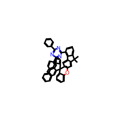 CC1(C)c2cc3c(cc2-c2c(-c4nc(-c5ccccc5)nc(-c5ccc(-c6ccccc6)cc5)n4)cccc21)C1(c2ccccc2O3)c2ccccc2-c2ccccc21